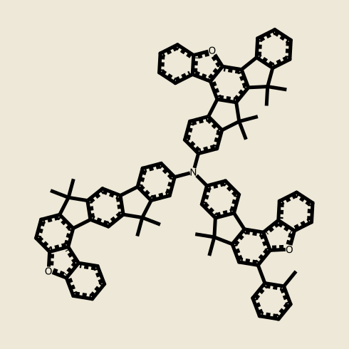 Cc1ccccc1-c1cc2c(c3c1oc1ccccc13)-c1ccc(N(c3ccc4c(c3)C(C)(C)c3cc5c(cc3-4)C(C)(C)c3ccc4oc6ccccc6c4c3-5)c3ccc4c(c3)C(C)(C)c3c5c(c6oc7ccccc7c6c3-4)-c3ccccc3C5(C)C)cc1C2(C)C